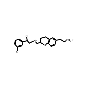 CCOC(=O)CCc1ccc2c(c1)CCC(CNCC(O)c1cccc(Cl)c1)O2